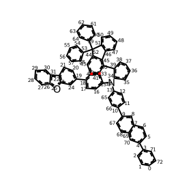 c1ccc(-c2ccc3cc(-c4ccc(N(c5ccc(-c6ccc7c(c6)oc6ccccc67)cc5)c5ccccc5-c5cccc6c5-c5ccccc5C6(c5ccccc5)c5ccccc5)cc4)ccc3c2)cc1